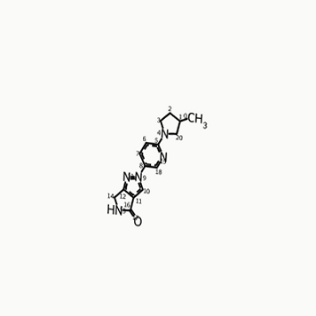 CC1CCN(c2ccc(-n3cc4c(n3)CNC4=O)cn2)C1